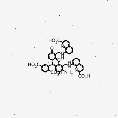 Nc1ccc2c(-c3cc(C(=O)O)ccc3C(=O)O)c3ccc(=O)c(CNc4cccc5ccc(C(=O)O)nc45)c-3oc2c1CNc1cccc2ccc(C(=O)O)nc12